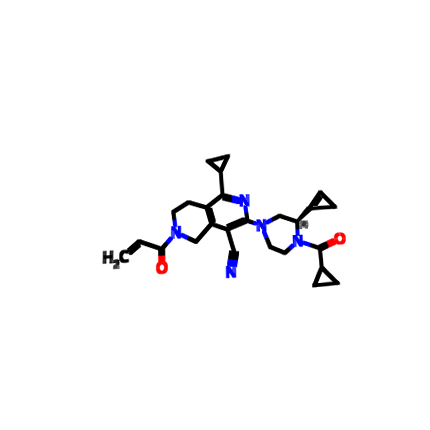 C=CC(=O)N1CCc2c(C3CC3)nc(N3CCN(C(=O)C4CC4)[C@H](C4=CC4)C3)c(C#N)c2C1